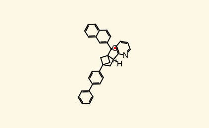 O=C(c1ccc2ccccc2c1)C12CC(c3ccc(-c4ccccc4)cc3)(C[C@H]1c1ccccn1)C2